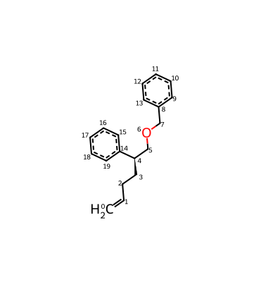 C=CCC[C@H](COCc1ccccc1)c1ccccc1